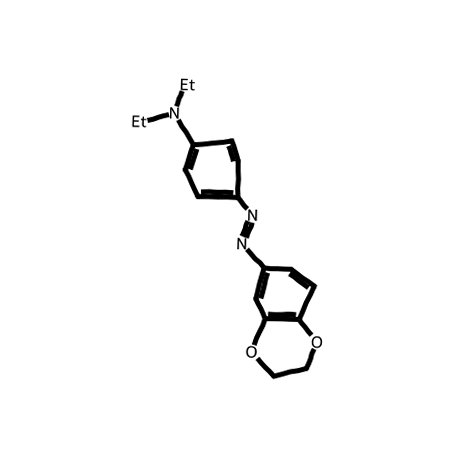 CCN(CC)c1ccc(N=Nc2ccc3c(c2)OCCO3)cc1